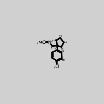 S=C=NCC1(c2ccc(Cl)cc2)CCCC1